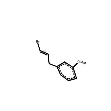 COc1cccc(C/C=C/Br)c1